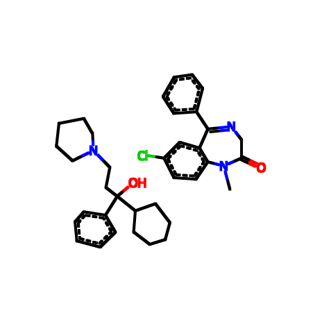 CN1C(=O)CN=C(c2ccccc2)c2cc(Cl)ccc21.OC(CCN1CCCCC1)(c1ccccc1)C1CCCCC1